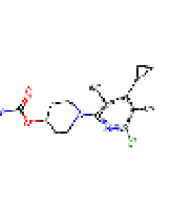 N#Cc1c(Cl)nc(N2CCC(OC(N)=O)CC2)c(C#N)c1C1CC1